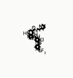 O=C(NCCc1ccccn1)C1=Cc2c(ncnc2Nc2ccc(Oc3cccc(C(F)(F)F)c3)c(Cl)c2)NCC1